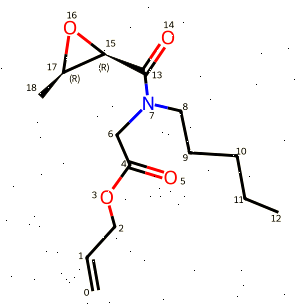 C=CCOC(=O)CN(CCCCC)C(=O)[C@@H]1O[C@@H]1C